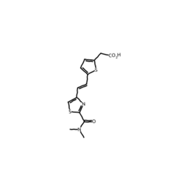 CN(C)C(=O)c1nc(C=Cc2ccc(CC(=O)O)s2)cs1